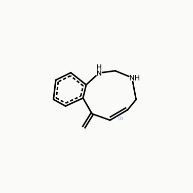 C=C1/C=C\CNCNc2ccccc21